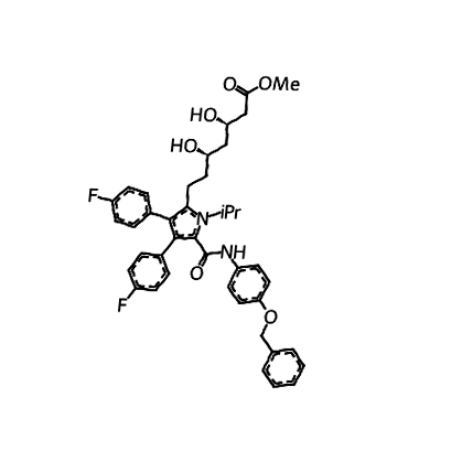 COC(=O)C[C@H](O)C[C@H](O)CCc1c(-c2ccc(F)cc2)c(-c2ccc(F)cc2)c(C(=O)Nc2ccc(OCc3ccccc3)cc2)n1C(C)C